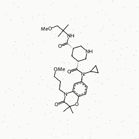 COCCCN1C(=O)C(C)(C)Oc2ccc(N(C(=O)[C@H]3CNC[C@@H](C(=O)NC(C)(C)COC)C3)C3CC3)cc21